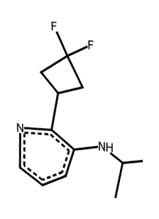 CC(C)Nc1cccnc1C1CC(F)(F)C1